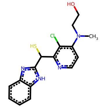 CN(CCO)c1ccnc(C(S)c2nc3ccccc3[nH]2)c1Cl